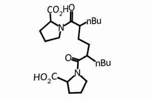 CCCCC(CCC(CCCC)C(=O)N1CCCC1C(=O)O)C(=O)N1CCCC1C(=O)O